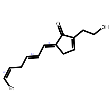 CC/C=C\C/C=C/C=C1\CC=C(CCO)C1=O